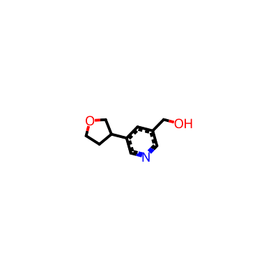 OCc1cncc(C2CCOC2)c1